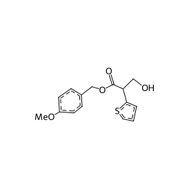 COc1ccc(COC(=O)C(CO)c2cccs2)cc1